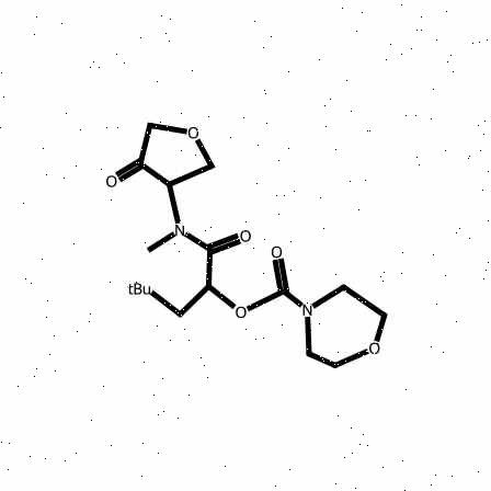 CN(C(=O)C(CC(C)(C)C)OC(=O)N1CCOCC1)C1COCC1=O